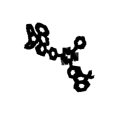 CC1(C)c2ccccc2-c2ccc(-c3nc(-c4ccccc4)nc(-c4ccc(-c5cccc6c5Sc5ccccc5C65c6ccccc6-c6ccccc65)cc4)n3)cc21